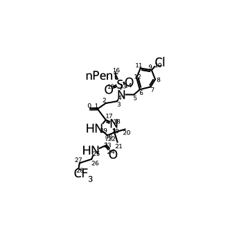 C=C(CCN(Cc1ccc(Cl)cc1)S(=O)(=O)CCCCC)C1=NC(C)(C)[C@H](C(=O)NCCC(F)(F)F)N1